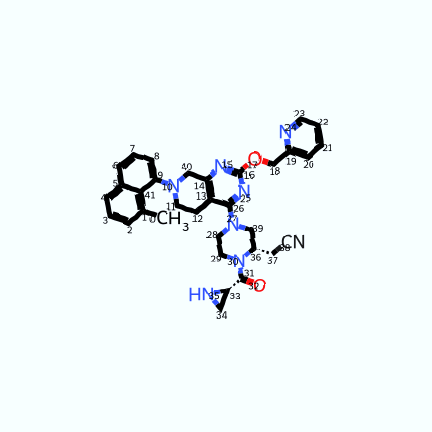 Cc1cccc2cccc(N3CCc4c(nc(OCc5ccccn5)nc4N4CCN(C(=O)[C@@H]5CN5)[C@@H](CC#N)C4)C3)c12